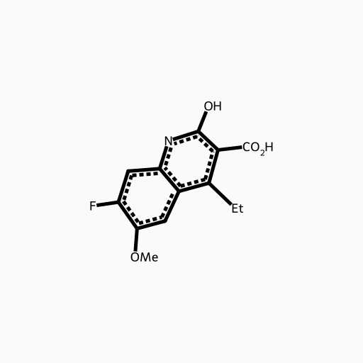 CCc1c(C(=O)O)c(O)nc2cc(F)c(OC)cc12